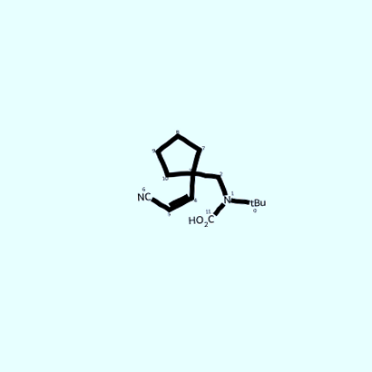 CC(C)(C)N(CC1(/C=C\C#N)CCCC1)C(=O)O